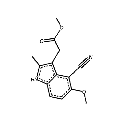 COC(=O)Cc1c(C)[nH]c2ccc(OC)c(C#N)c12